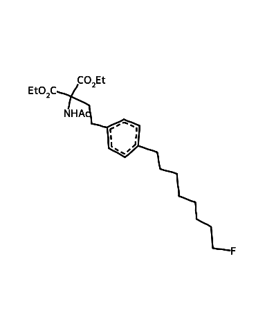 CCOC(=O)C(CCc1ccc(CCCCCCCCF)cc1)(NC(C)=O)C(=O)OCC